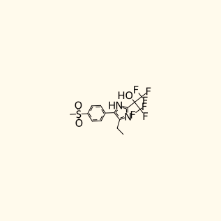 CCc1nc(C(O)(C(F)(F)F)C(F)(F)F)[nH]c1-c1ccc(S(C)(=O)=O)cc1